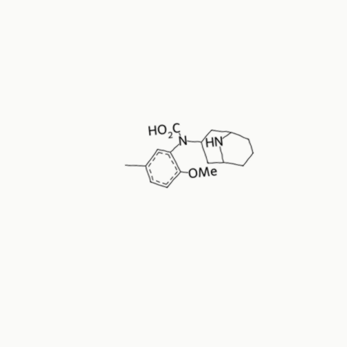 COc1ccc(C)cc1N(C(=O)O)C1CC2CCCC(C1)N2